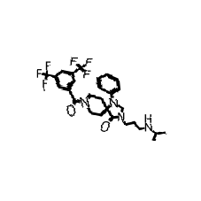 CC(C)NCCCN1CN(c2ccccc2)C2(CCN(C(=O)c3cc(C(F)(F)F)cc(C(F)(F)F)c3)CC2)C1=O